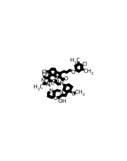 COc1ccc(N2CC(C)n3c(c(CCCOc4cc(C)c(Cl)c(C)c4)c4ccc(Cl)c(-c5c(C)nc(C)nc5C)c43)C2=O)c2c1cc(C(=O)O)n2Cc1ccccn1